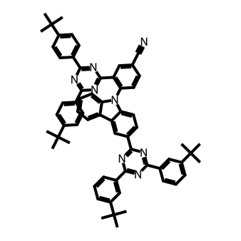 CC(C)(C)c1ccc(-c2nc(-c3ccc(C(C)(C)C)cc3)nc(-c3cc(C#N)ccc3-n3c4ccccc4c4cc(-c5nc(-c6cccc(C(C)(C)C)c6)nc(-c6cccc(C(C)(C)C)c6)n5)ccc43)n2)cc1